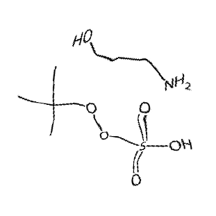 CC(C)(C)OOS(=O)(=O)O.NCCO